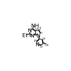 CCc1nc(N)c2ccn(-c3cncc(C)c3)c2n1